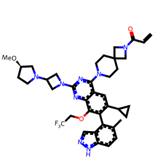 C=CC(=O)N1CC2(CCN(c3nc(N4CC(N5CC[C@@H](OC)C5)C4)nc4c(OCC(F)(F)F)c(-c5c(C)ccc6[nH]ncc56)c(C5CC5)cc34)CC2)C1